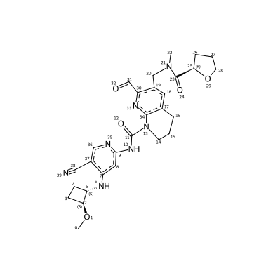 CO[C@H]1CC[C@@H]1Nc1cc(NC(=O)N2CCCc3cc(CN(C)C(=O)[C@H]4CCCO4)c(C=O)nc32)ncc1C#N